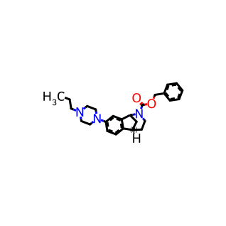 CCCN1CCN(c2ccc3c(c2)C2C[C@H]3CCN2C(=O)OCc2ccccc2)CC1